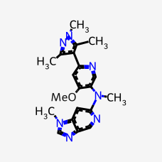 COc1cc(-c2c(C)nn(C)c2C)ncc1N(C)c1cc2c(cn1)ncn2C